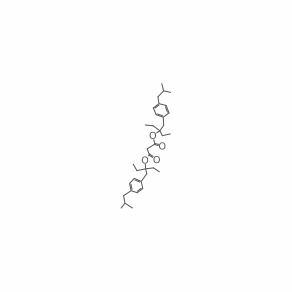 CCC(CC)(Cc1ccc(CC(C)C)cc1)OC(=O)CC(=O)OC(CC)(CC)Cc1ccc(CC(C)C)cc1